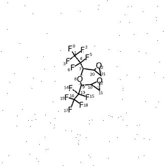 FC(F)(F)C(F)(F)C(OC(C1CO1)C(F)(F)C(F)(F)F)C1CO1